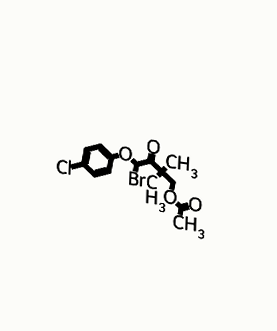 CC(=O)OCC(C)(C)C(=O)C(Br)Oc1ccc(Cl)cc1